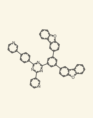 c1cncc(-c2ccc(-c3nc(-c4cccnc4)nc(-c4cc(-c5ccc6oc7ccccc7c6c5)cc(-c5ccc6oc7ccccc7c6c5)c4)n3)cc2)c1